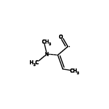 C/C=C(\[C]=O)N(C)C